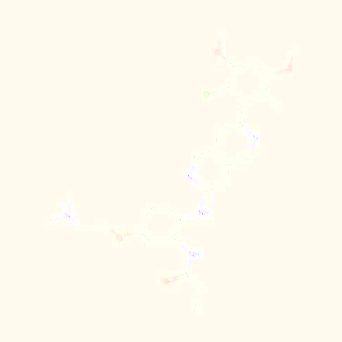 C=CC(=O)Nc1cc(OCCN(C)C)ccc1Nc1cc2cnc(-c3c(C)c(OC)cc(OC)c3Cl)cc2cn1